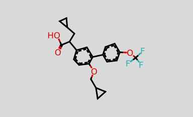 O=C(O)C(CC1CC1)c1ccc(OCC2CC2)c(-c2ccc(OC(F)(F)F)cc2)c1